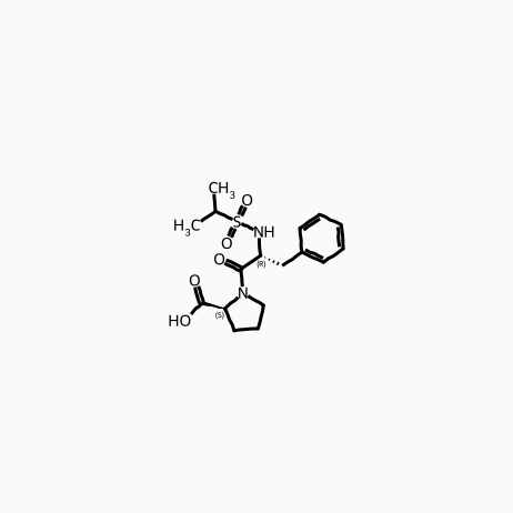 CC(C)S(=O)(=O)N[C@H](Cc1ccccc1)C(=O)N1CCC[C@H]1C(=O)O